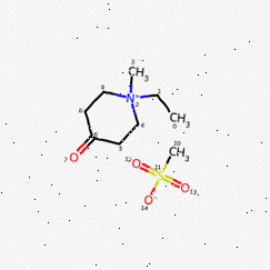 CC[N+]1(C)CCC(=O)CC1.CS(=O)(=O)[O-]